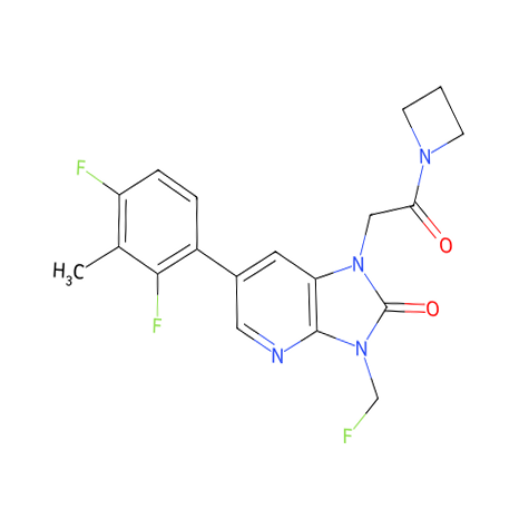 Cc1c(F)ccc(-c2cnc3c(c2)n(CC(=O)N2CCC2)c(=O)n3CF)c1F